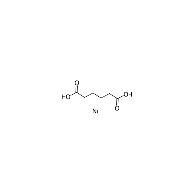 O=C(O)CCCCC(=O)O.[Ni]